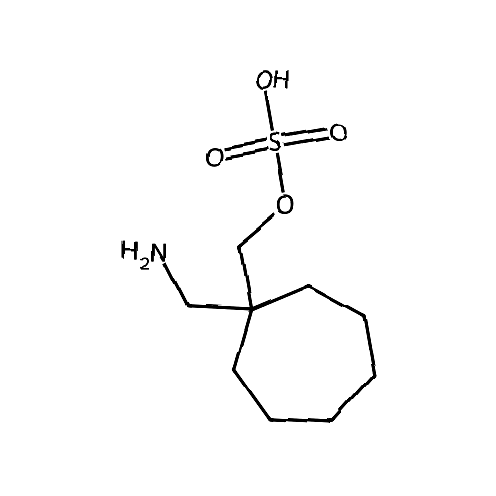 NCC1(COS(=O)(=O)O)CCCCCC1